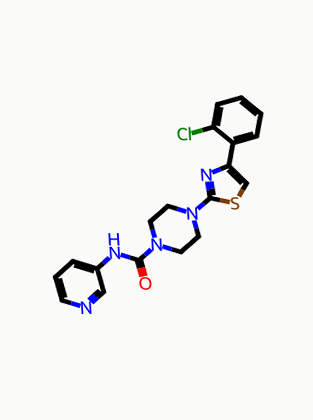 O=C(Nc1cccnc1)N1CCN(c2nc(-c3ccccc3Cl)cs2)CC1